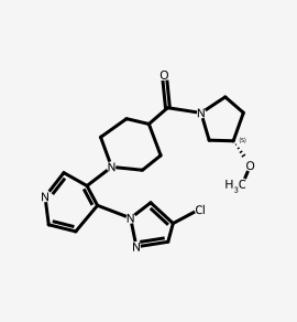 CO[C@H]1CCN(C(=O)C2CCN(c3cnccc3-n3cc(Cl)cn3)CC2)C1